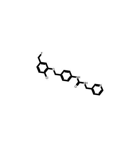 O=C(NCc1cccnc1)Nc1ccc(COc2cc(CF)ccc2Cl)cc1